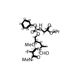 CNC(=O)/C(F)=C\N(C=O)C(C)CC(COP(=O)(NCC(=O)OC(C)C)Oc1ccccc1)OC